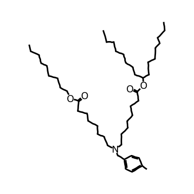 CCCCCCCCCOC(=O)CCCCCCCN(CCCCCCCC(=O)OC(CCCCCCCC)CCCCCCCC)Cc1ccc(C)cc1